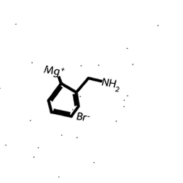 NCc1cccc[c]1[Mg+].[Br-]